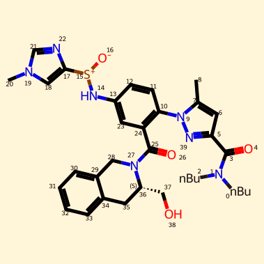 CCCCN(CCCC)C(=O)c1cc(C)n(-c2ccc(N[S+]([O-])c3cn(C)cn3)cc2C(=O)N2Cc3ccccc3C[C@H]2CO)n1